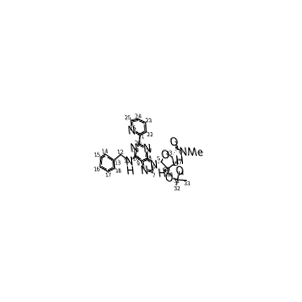 CNC(=O)[C@H]1O[C@@H](n2cnc3c(NCc4ccccc4)nc(-c4ccccn4)nc32)[C@@H]2OC(C)(C)O[C@@H]21